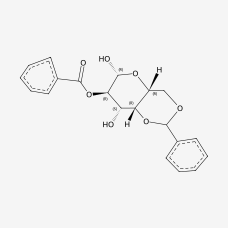 O=C(O[C@@H]1[C@@H](O)[C@H]2OC(c3ccccc3)OC[C@H]2O[C@H]1O)c1ccccc1